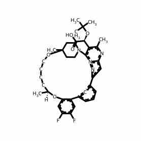 Cc1nc2cc3nn2c(c1[C@H](OC(C)(C)C)C(=O)O)N1CCC(C)(CC1)OCCCC[C@H](C)Oc1cc(F)c(F)cc1-c1cccc-3c1